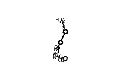 COCCOc1cccc(C#Cc2ccc(-c3cc(Cn4ccnc4C(C)OC4CCCCO4)no3)cc2)c1